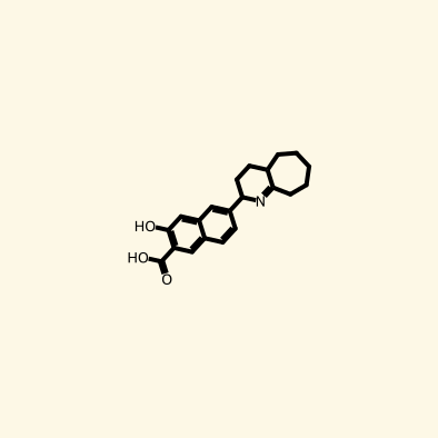 O=C(O)c1cc2ccc(C3CCC4CCCCCC4=N3)cc2cc1O